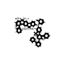 CCCCCCCCC1(CCCCCCCC)c2cc(N(c3ccc4c(c3)C(C)(C)c3cc(-c5ccccc5-c5ccccc5)c5oc6ccccc6c5c3-4)c3ccccc3C)ccc2-c2cc3c(cc21)-c1c(ccc2oc4ccccc4c12)C3(CCCCCCCC)CCCCCCCC